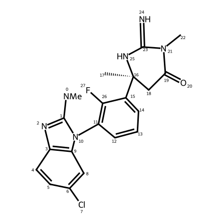 CNc1nc2ccc(Cl)cc2n1-c1cccc([C@]2(C)CC(=O)N(C)C(=N)N2)c1F